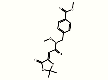 COC(=O)c1ccc(CN(OC)C(=O)C=C2OC(C)(C)OC2=O)cc1